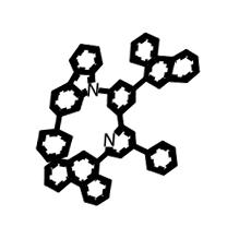 c1ccc(-c2cc(-c3cc(-c4cc5ccccc5c5ccccc45)cc(-n4c5ccccc5c5ccc(-c6ccccc6)cc54)c3)nc(-c3cc4ccccc4c4ccccc34)c2)cc1